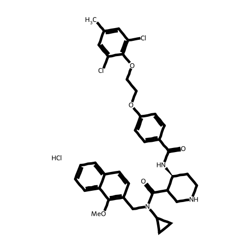 COc1c(CN(C(=O)C2CNCC[C@@H]2NC(=O)c2ccc(OCCOc3c(Cl)cc(C)cc3Cl)cc2)C2CC2)ccc2ccccc12.Cl